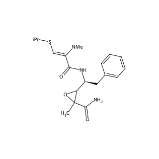 CN/C(=C\SC(C)C)C(=O)N[C@@H](Cc1ccccc1)C1OC1(C)C(N)=O